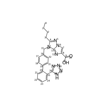 CCCCc1nn2cc(C(=O)O)nc2n1Cc1ccc(-c2ccccc2-c2nnn[nH]2)cc1